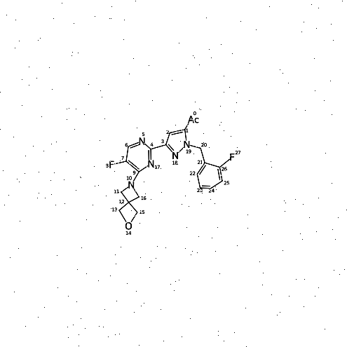 CC(=O)c1cc(-c2ncc(F)c(N3CC4(COC4)C3)n2)nn1Cc1ccccc1F